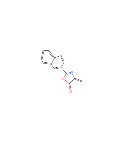 C=C1N=C(c2ccc3ccccc3c2)OC1=O